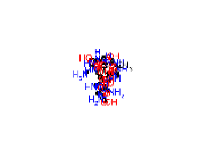 CC(C)C[C@H](NC(=O)[C@H](CC(=O)O)NC(=O)[C@H](C)NC(=O)[C@@H]1CCCN1C(=O)CNC(=O)[C@H](Cc1ccccc1)NC(=O)[C@H](Cc1c[nH]cn1)NC(=O)[C@H](CC(N)=O)NC(=O)[C@@H]1CCCN1C(=O)[C@@H](N)CC(=O)O)C(=O)N1CCC[C@H]1C(=O)N[C@@H](CC(=O)O)C(=O)N[C@@H](CCCCN)C(=O)N[C@@H](Cc1ccc(O)cc1)C(=O)O